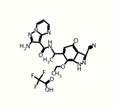 CCOc1c(C(C)NC(=O)c2c(N)nn3cccnc23)cc(Cl)c2c(C#N)n[nH]c12.O=C(O)C(F)(F)F